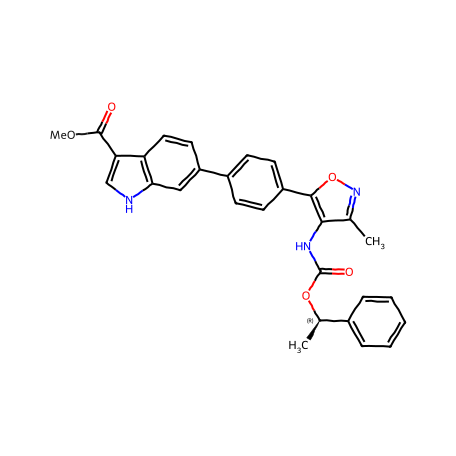 COC(=O)c1c[nH]c2cc(-c3ccc(-c4onc(C)c4NC(=O)O[C@H](C)c4ccccc4)cc3)ccc12